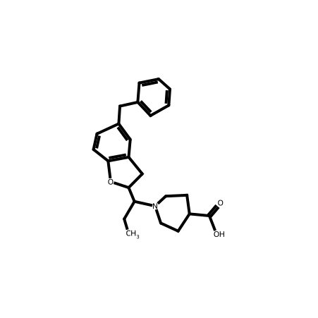 CCC(C1Cc2cc(Cc3ccccc3)ccc2O1)N1CCC(C(=O)O)CC1